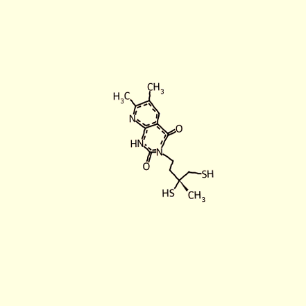 Cc1cc2c(=O)n(CC[C@@](C)(S)CS)c(=O)[nH]c2nc1C